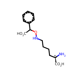 N[C@H](CCCCNOC(C(=O)O)c1ccccc1)C(=O)O